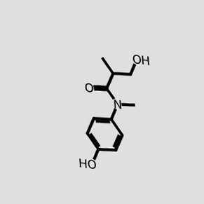 CC(CO)C(=O)N(C)c1ccc(O)cc1